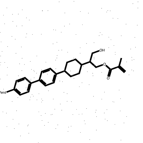 C=C(C)C(=O)OCC(CO)C1CCC(c2ccc(-c3ccc(CCCCC)cc3)cc2)CC1